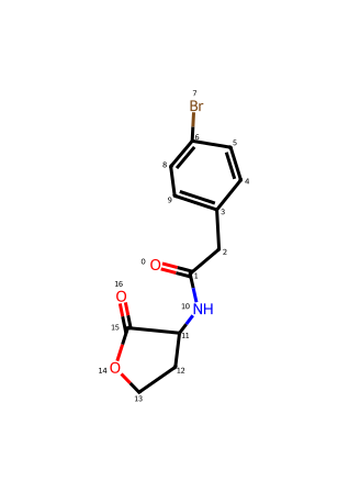 O=C(Cc1ccc(Br)cc1)NC1CCOC1=O